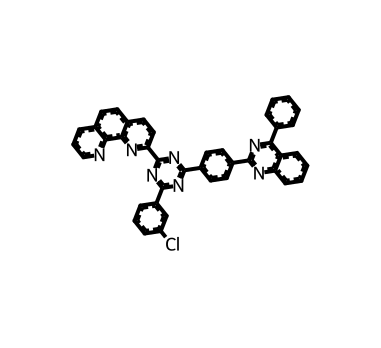 Clc1cccc(-c2nc(-c3ccc(-c4nc(-c5ccccc5)c5ccccc5n4)cc3)nc(-c3ccc4ccc5cccnc5c4n3)n2)c1